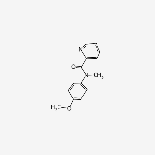 COc1ccc(N(C)C(=O)c2ccccn2)cc1